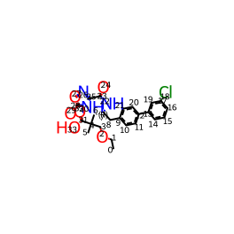 CCOCC(C)(C[C@@H](Cc1ccc(-c2cccc(Cl)c2)cc1)NC(=O)c1noc(=O)[nH]1)C(=O)O